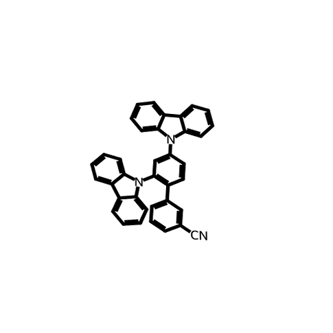 N#Cc1cccc(-c2ccc(-n3c4ccccc4c4ccccc43)cc2-n2c3ccccc3c3ccccc32)c1